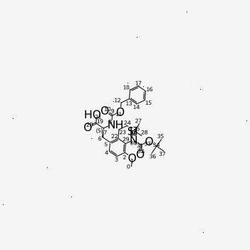 COc1ccc(C[C@H](NC(=O)OCc2ccccc2)C(=O)O)c(CC[Si](C)(C)C)c1NC(=O)OC(C)(C)C